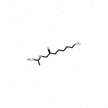 CCCCCCCCCCCCCC(=O)CNC(C)C(=O)O